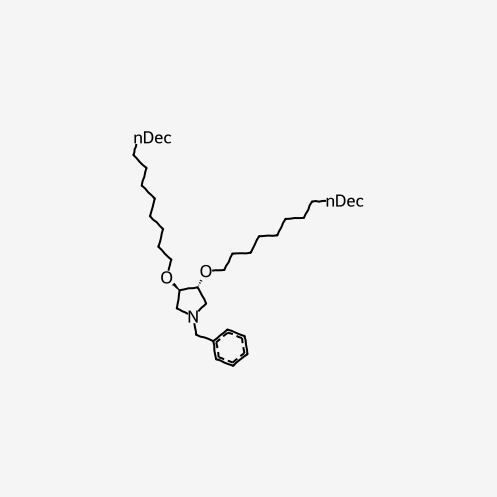 CCCCCCCCCCCCCCCCCCO[C@@H]1CN(Cc2ccccc2)C[C@H]1OCCCCCCCCCCCCCCCCCC